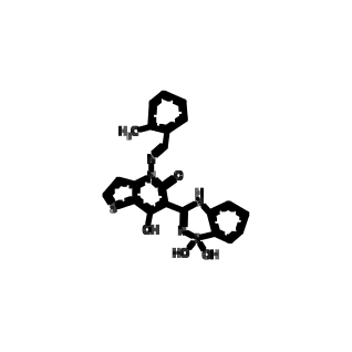 Cc1ccccc1C=Nn1c(=O)c(C2=NS(O)(O)c3ccccc3N2)c(O)c2sccc21